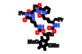 COc1c(C)c(C)c(OC)c(CCCOC(=O)NCCC[C@H](NC(=O)[C@@H](NC(=O)[C@@H]2CCCN2C(=O)C/C=C/[C@H](CC(C)C)NC(=O)OC(C)(C)C)C(C)C)C(=O)NC(C)C)c1C